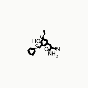 CCOc1cc(C=C(C#N)C(N)=O)cc(CSc2ccccc2)c1O